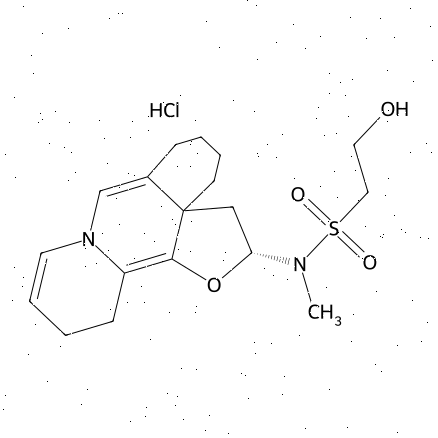 CN([C@H]1CC23CCCCC2=CN2C=CCCC2=C3O1)S(=O)(=O)CCO.Cl